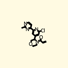 C=CC(=O)N1CCOCC1c1cc(Cl)nc(-c2ccnc(C)n2)c1